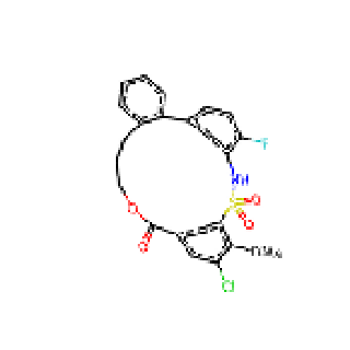 COc1c(Cl)cc2cc1S(=O)(=O)Nc1cc(ccc1F)-c1ccccc1CCCOC2=O